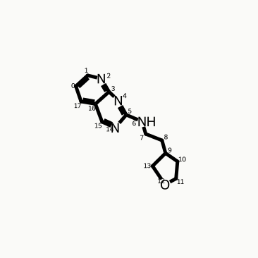 c1cnc2nc(NCCC3CCOC3)ncc2c1